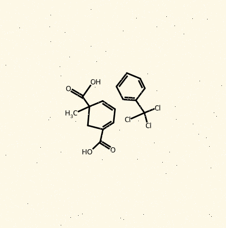 CC1(C(=O)O)C=CC=C(C(=O)O)C1.ClC(Cl)(Cl)c1ccccc1